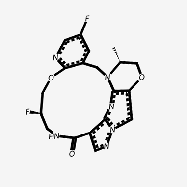 C[C@@H]1COc2cn3ncc4c3nc2N1Cc1cc(F)cnc1OC[C@H](F)CNC4=O